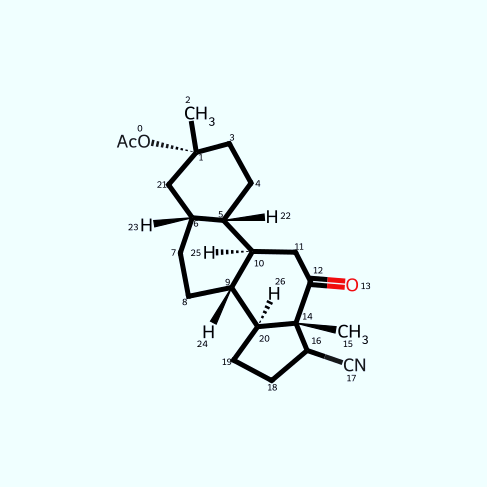 CC(=O)O[C@]1(C)CC[C@H]2[C@H](CC[C@@H]3[C@@H]2CC(=O)[C@]2(C)C(C#N)CC[C@@H]32)C1